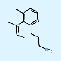 C/N=C(/C)c1c(C)ccnc1CCCN